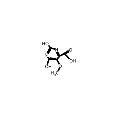 COc1c(O)nc(O)nc1C(=O)O